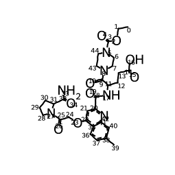 CCOC(=O)N1CCN(C(=O)C(CCC(=O)O)NC(=O)c2cc(OCC(=O)N3CCCC3C(N)=O)c3ccc(C)cc3n2)CC1